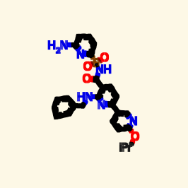 CC(C)Oc1ccc(-c2ccc(C(=O)NS(=O)(=O)c3cccc(N)n3)c(NCc3ccccc3)n2)cn1